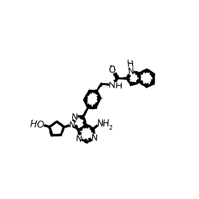 Nc1ncnc2c1c(-c1ccc(CNC(=O)c3cc4ccccc4[nH]3)cc1)nn2C1CCC(O)C1